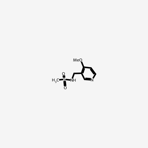 COc1ccncc1CNS(C)(=O)=O